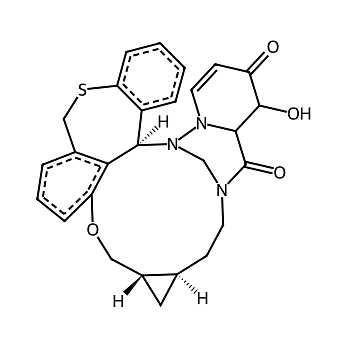 O=C1C=CN2C(C(=O)N3CC[C@H]4C[C@@H]4COc4cccc5c4[C@@H](c4ccccc4SC5)N2C3)C1O